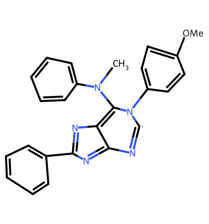 COc1ccc(-n2[c]nc3nc(-c4ccccc4)nc-3c2N(C)c2ccccc2)cc1